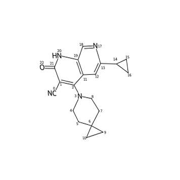 N#Cc1c(N2CCC3(CC2)CC3)c2cc(C3CC3)ncc2[nH]c1=O